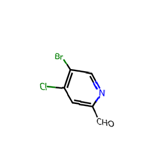 O=Cc1cc(Cl)c(Br)cn1